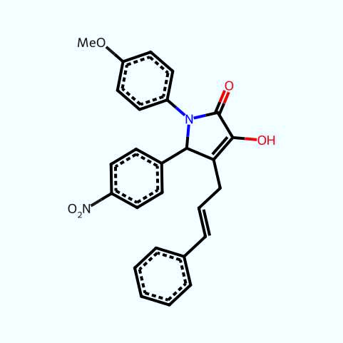 COc1ccc(N2C(=O)C(O)=C(C/C=C/c3ccccc3)C2c2ccc([N+](=O)[O-])cc2)cc1